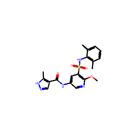 COc1ncc(NC(=O)c2cn[nH]c2C)cc1S(=O)(=O)Nc1c(C)cccc1C